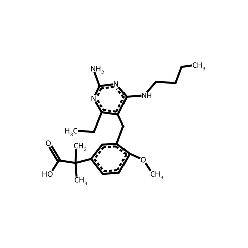 CCCCNc1nc(N)nc(CC)c1Cc1cc(C(C)(C)C(=O)O)ccc1OC